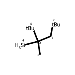 CC(C)(C)CC(C)([SiH3])C(C)(C)C